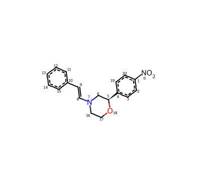 O=[N+]([O-])c1ccc([C@@H]2CN(C=Cc3ccccc3)CCO2)cc1